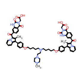 Cc1c(-c2ccc(OCCCCCN(CCCCCOc3ccc(-c4c(C)c(C(=O)c5ccc6c(=O)n(CC(=O)O)c(=O)[nH]c6c5)n5ccccc45)cc3)CCN3CCN(C)CC3)cc2)c2ccccn2c1C(=O)c1ccc2c(=O)n(CC(=O)O)c(=O)[nH]c2c1